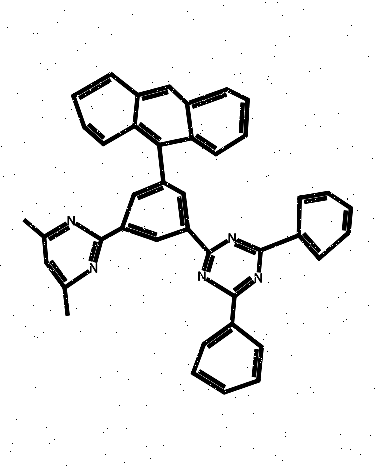 Cc1cc(C)nc(-c2cc(-c3nc(-c4ccccc4)nc(-c4ccccc4)n3)cc(-c3c4ccccc4cc4ccccc34)c2)n1